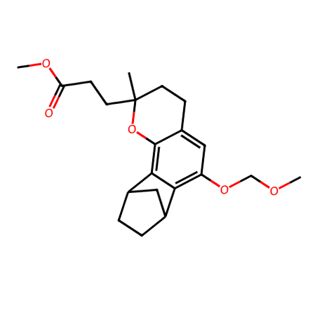 COCOc1cc2c(c3c1C1CCC3C1)OC(C)(CCC(=O)OC)CC2